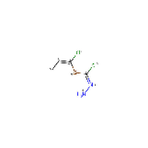 C/C=C(/Cl)S/C(Cl)=N\N